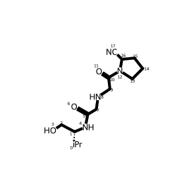 CC(C)[C@H](CO)NC(=O)CNCC(=O)N1CCCC1C#N